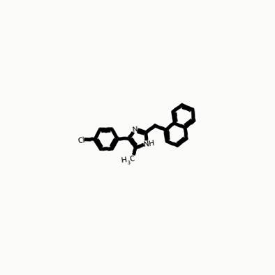 Cc1[nH]c(Cc2cccc3ccccc23)nc1-c1ccc(Cl)cc1